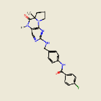 CCN1C(=O)C2(C)CCCN2c2nc(NCc3ccc(NC(=O)c4ccc(F)cc4)cc3)ncc21